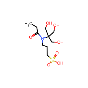 CCC(=O)N(CCCS(=O)(=O)O)C(CO)(CO)CO